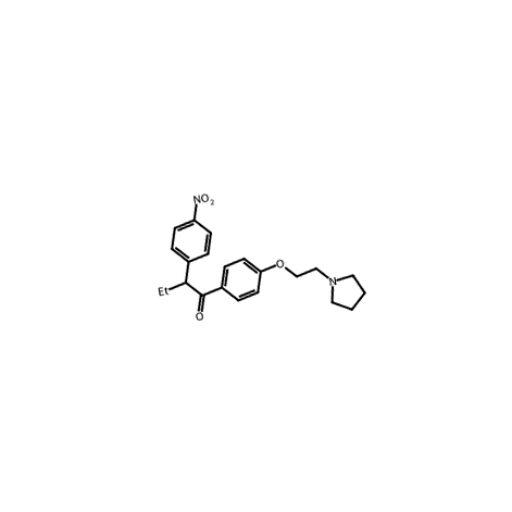 CCC(C(=O)c1ccc(OCCN2CCCC2)cc1)c1ccc([N+](=O)[O-])cc1